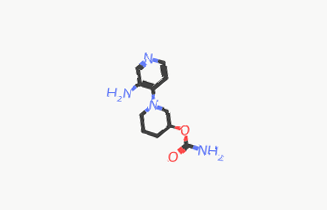 NC(=O)OC1CCCN(c2ccncc2N)C1